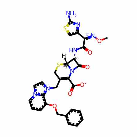 CO/N=C(\C(=O)N[C@@H]1C(=O)N2C(C(=O)[O-])=C(Cn3cc[n+]4cccc(OCc5ccccc5)c34)CS[C@H]12)c1csc(N)n1